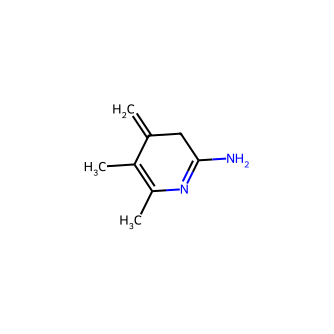 C=C1CC(N)=NC(C)=C1C